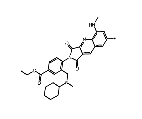 CCOC(=O)c1ccc(N2C(=O)c3cc4cc(F)cc(NC)c4nc3C2=O)c(CN(C)C2CCCCC2)c1